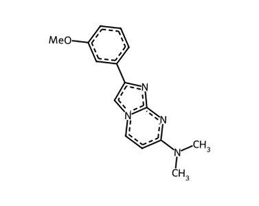 COc1cccc(-c2cn3ccc(N(C)C)nc3n2)c1